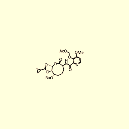 COc1ccnc(C(=O)N[C@H]2CCC[C@H](OCC(C)C)[C@@H](OC(=O)C3CC3)[C@H](C)OC2=O)c1OCOC(C)=O